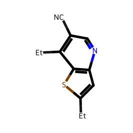 CCc1cc2ncc(C#N)c(CC)c2s1